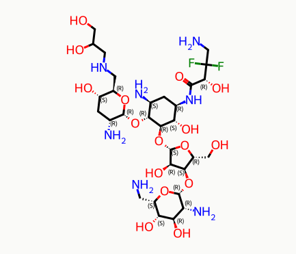 NC[C@@H]1O[C@H](O[C@H]2[C@@H](O)[C@H](O[C@@H]3[C@@H](O)[C@H](NC(=O)[C@@H](O)C(F)(F)CN)C[C@H](N)[C@H]3O[C@H]3O[C@H](CNCC(O)CO)[C@@H](O)C[C@H]3N)O[C@@H]2CO)[C@H](N)[C@@H](O)[C@@H]1O